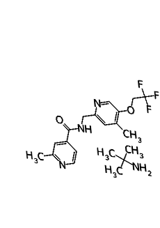 CC(C)(C)N.Cc1cc(C(=O)NCc2cc(C)c(OCC(F)(F)F)cn2)ccn1